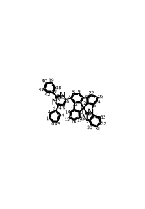 c1ccc(-c2cc(-c3cccc4c3-c3ccccc3C43c4ccccc4-n4c3nc3ccccc34)nc(-c3ccccc3)n2)cc1